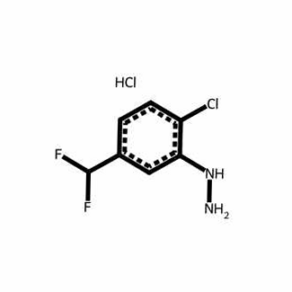 Cl.NNc1cc(C(F)F)ccc1Cl